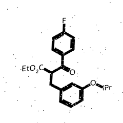 CCOC(=O)C(Cc1cccc(OC(C)C)c1)C(=O)c1ccc(F)cc1